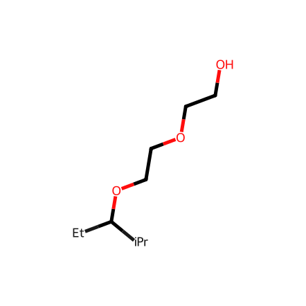 CCC(OCCOCCO)C(C)C